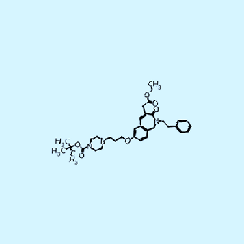 CCOC(=O)CC1=Cc2cc(OCCCN3CCN(C(=O)OC(C)(C)C)CC3)ccc2CN(CCc2ccccc2)C1=O